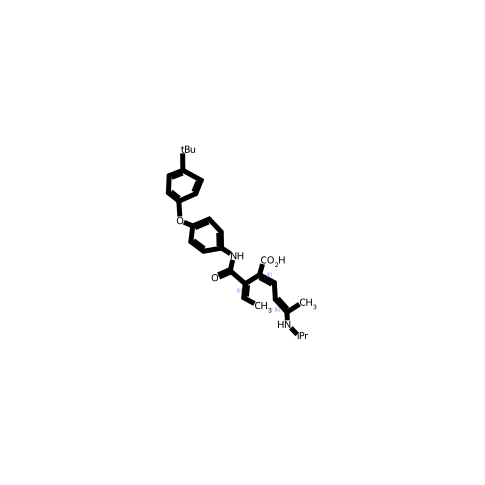 C\C=C(C(=O)Nc1ccc(Oc2ccc(C(C)(C)C)cc2)cc1)/C(=C\C=C(/C)NC(C)C)C(=O)O